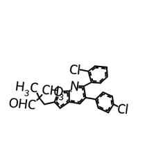 CC(C)(C=O)Cc1cc2cc(-c3ccc(Cl)cc3)c(-c3ccccc3Cl)nc2o1